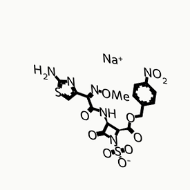 CON=C(C(=O)N[C@@H]1C(=O)N(S(=O)(=O)[O-])[C@@H]1C(=O)OCc1ccc([N+](=O)[O-])cc1)c1csc(N)n1.[Na+]